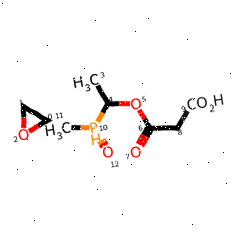 C1CO1.CC(OC(=O)CC(=O)O)[PH](C)=O